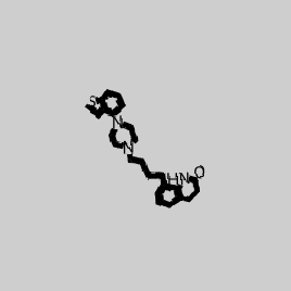 O=C1CCc2cccc(CCCCN3CCN(c4cccc5sccc45)CC3)c2N1